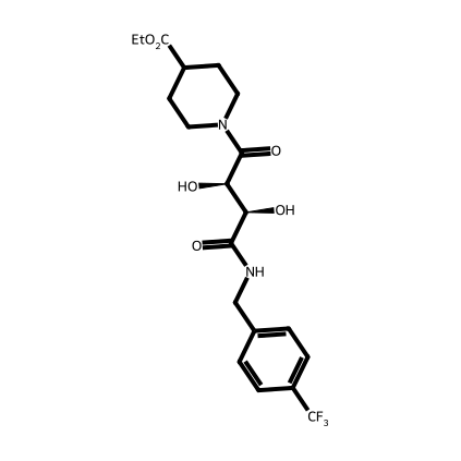 CCOC(=O)C1CCN(C(=O)[C@H](O)[C@@H](O)C(=O)NCc2ccc(C(F)(F)F)cc2)CC1